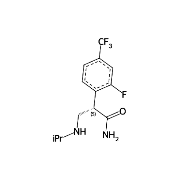 CC(C)NC[C@@H](C(N)=O)c1ccc(C(F)(F)F)cc1F